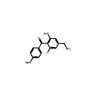 COc1ccc(C(=O)c2c(F)cc(CN)cc2OC(C)=O)cc1